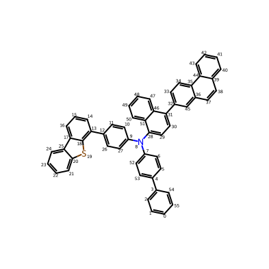 c1ccc(-c2ccc(N(c3ccc(-c4cccc5c4sc4ccccc45)cc3)c3ccc(-c4ccc5c(ccc6ccccc65)c4)c4ccccc34)cc2)cc1